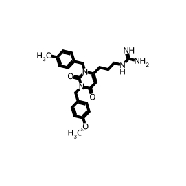 COc1ccc(Cn2c(=O)cc(CCCNC(=N)N)n(Cc3ccc(C)cc3)c2=O)cc1